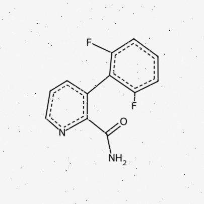 NC(=O)c1ncccc1-c1c(F)cccc1F